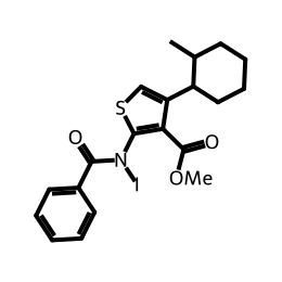 COC(=O)c1c(C2CCCCC2C)csc1N(I)C(=O)c1ccccc1